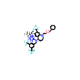 Cc1cc2c(cc1C(F)(F)F)N(CCOCc1ccccc1)CCCC2N(Cc1cc(C(F)(F)F)cc(C(F)(F)F)c1)c1nnn(C)n1